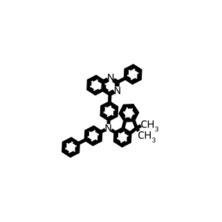 CC1(C)c2ccccc2-c2c(N(c3ccc(-c4ccccc4)cc3)c3ccc(-c4nc(-c5ccccc5)nc5ccccc45)cc3)cccc21